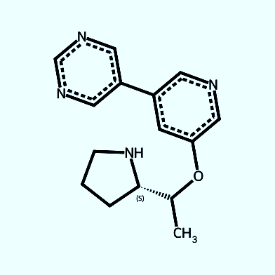 CC(Oc1cncc(-c2cncnc2)c1)[C@@H]1CCCN1